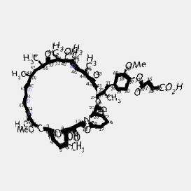 CO[C@H]1C[C@@H]2CC[C@@H](C)[C@@](O)(O2)C(=O)C(=O)N2CCCC[C@H]2C(=O)O[C@H]([C@H](C)C[C@@H]2CC[C@@H](OC(=O)CCC(=O)O)[C@H](OC)C2)CC(=O)[C@H](C)/C=C(\C)[C@@H](O)[C@@H](C)C(=O)[C@H](C)C[C@H](C)/C=C/C=C/C=C/1C